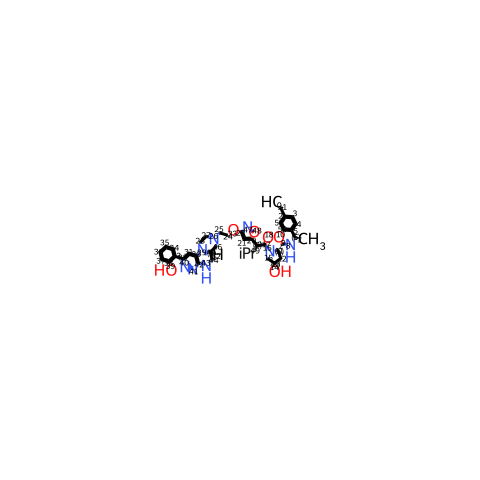 C#Cc1ccc([C@H](C)NC(=O)[C@@H]2C[C@@H](O)CN2C(=O)[C@H](c2cc(OCCN3CCN4c5cc(-c6ccccc6O)nnc5NC[C@H]4C3)no2)C(C)C)cc1